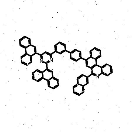 c1cc(-c2ccc(-c3cc4c(-c5ccc6ccccc6c5)nc5ccccc5c4c4ccccc34)cc2)cc(-c2cc(-c3cc4ccccc4c4ccccc34)nc(-c3cc4ccccc4c4ccccc34)n2)c1